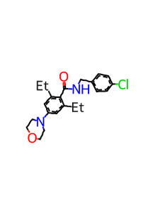 CCc1cc(N2CCOCC2)cc(CC)c1C(=O)NCc1ccc(Cl)cc1